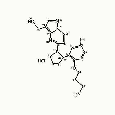 Cl.NCCCOc1ccc(F)cc1[C@H]1CCCN1c1ccn2ncc(CO)c2n1